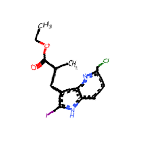 CCOC(=O)C(C)Cc1c(I)[nH]c2ccc(Cl)nc12